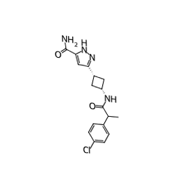 CC(C(=O)N[C@H]1C[C@@H](c2cc(C(N)=O)[nH]n2)C1)c1ccc(Cl)cc1